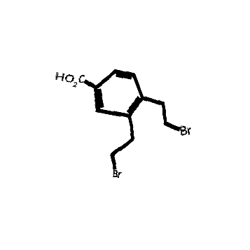 O=C(O)c1ccc(CCBr)c(CCBr)c1